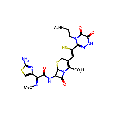 CON=C(C(=O)NC1C(=O)N2C(C(=O)O)=C(C=C(S)c3n[nH]c(=O)c(=O)n3CCNC(C)=O)CSC12)c1csc(N)n1